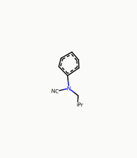 CC(C)CN(C#N)c1ccccc1